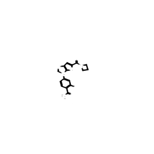 CNC(=O)c1ccc(N2COc3cc(C(=O)N4CCC4)[nH]c32)cc1F